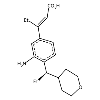 CC/C(=C\C(=O)O)c1ccc([C@H](CC)C2CCOCC2)c(N)c1